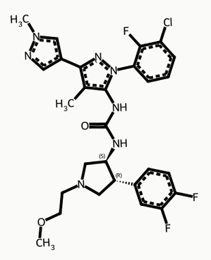 COCCN1C[C@@H](NC(=O)Nc2c(C)c(-c3cnn(C)c3)nn2-c2cccc(Cl)c2F)[C@H](c2ccc(F)c(F)c2)C1